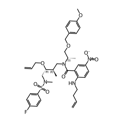 C=CCCNc1ccc([N+](=O)[O-])cc1C(=O)N(C[C@@H](C)[C@H](CN(C)S(=O)(=O)c1ccc(F)cc1)OCC=C)[C@@H](C)COCc1ccc(OC)cc1